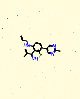 C=CCNc1ccc(-c2cnc(C)nc2)c(F)c1C(=N)C(=C)C